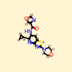 O=C(Nc1cc2sc(N3CCOCC3)nc2nc1C1CC1)c1cocn1